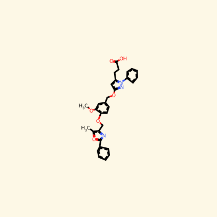 COc1cc(COc2cc(CCC(=O)O)n(-c3ccccc3)n2)ccc1OCc1nc(-c2ccccc2)oc1C